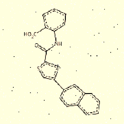 O=C(Nc1ccccc1C(=O)O)c1nc(-c2ccc3ccccc3c2)cs1